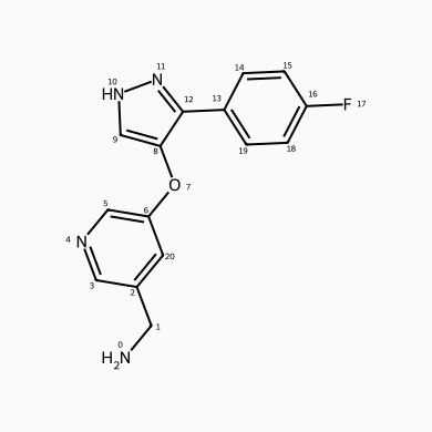 NCc1cncc(Oc2c[nH]nc2-c2ccc(F)cc2)c1